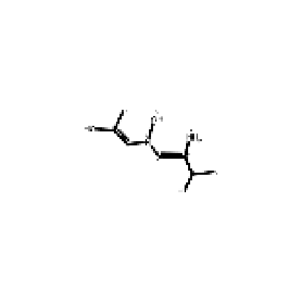 C/C(O)=C\N(O)/C=C(\N)C(C)C